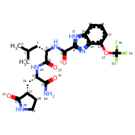 CC(C)C[C@H](NC(=O)c1nc2c(OC(F)(F)F)cccc2[nH]1)C(=O)N[C@@H](C[C@@H]1CCNC1=O)C(N)=O